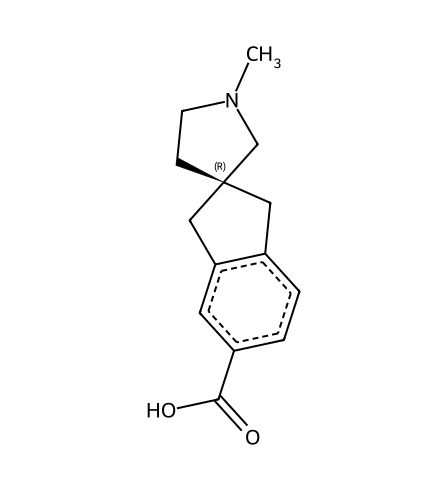 CN1CC[C@]2(Cc3ccc(C(=O)O)cc3C2)C1